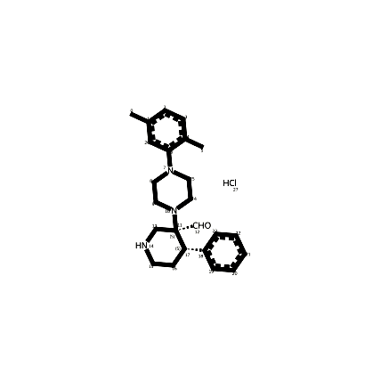 Cc1ccc(C)c(N2CCN([C@]3(C=O)CNCC[C@H]3c3ccccc3)CC2)c1.Cl